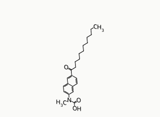 CCCCCCCCCCCC(=O)c1ccc2cc(N(C)C(=O)O)ccc2c1